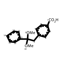 COC(Cc1ccc(C(=O)O)cc1)(OC)c1ccccc1